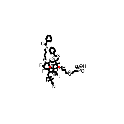 CCC(C)(CC(c1c(F)c(F)c(OCCCCSC(=O)c2ccccc2)c(F)c1F)C(N)(CC)C(CC)(CC)CC(C)(C(=O)NCCC[N+](C)(C)CCCS(=O)(=O)O)C(CC)(CC)SC(=S)c1ccccc1)C(C)(C)C#N